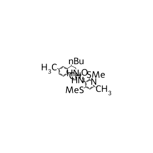 CCCCC(CNC(=O)Nc1c(SC)cc(C)nc1SC)c1cc(C)ccc1C